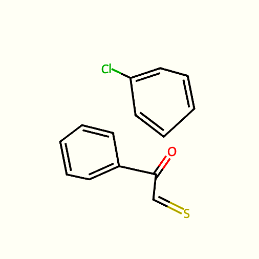 Clc1ccccc1.O=C(C=S)c1ccccc1